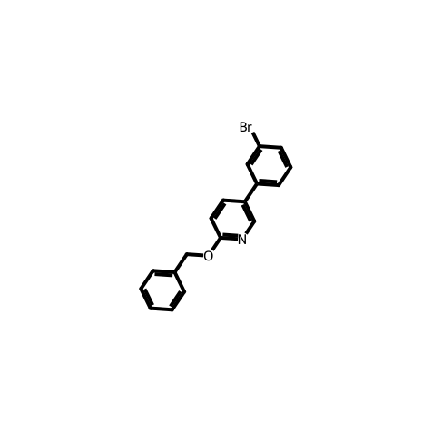 Brc1cccc(-c2ccc(OCc3ccccc3)nc2)c1